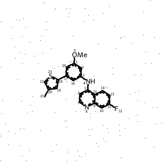 COc1cc(Nc2ccnc3cc(F)ccc23)cc(-c2cc(C)cs2)c1